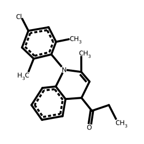 CCC(=O)C1C=C(C)N(c2c(C)cc(Cl)cc2C)c2ccccc21